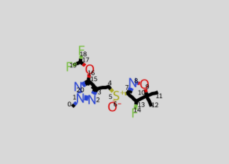 Cn1nc(C[S+]([O-])C2=NOC(C)(C)C2F)c(OC(F)F)n1